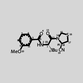 CCC(C)[C@H](NC(=O)c1cccc(OC)c1)C(=O)N1CSC[C@H]1C#N